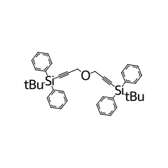 CC(C)(C)[Si](C#CCOCC#C[Si](c1ccccc1)(c1ccccc1)C(C)(C)C)(c1ccccc1)c1ccccc1